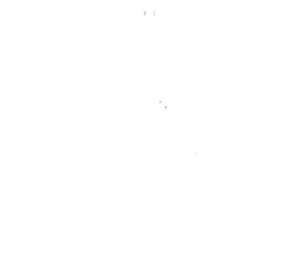 O=C(OC(c1ccccc1)c1ccccc1)n1ccc(=O)cc1